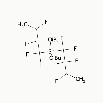 CC(C)C[O][Sn]([O]CC(C)C)([C](F)(F)C(F)(F)C(C)F)[C](F)(F)C(F)(F)C(C)F